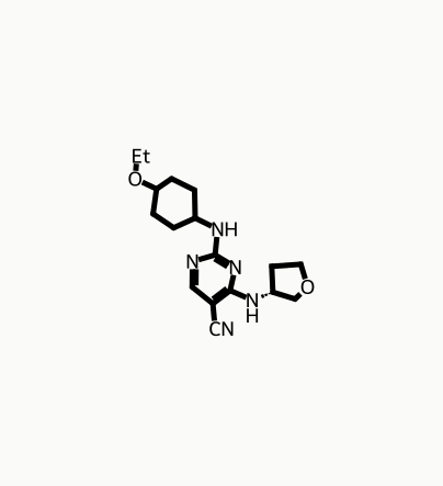 CCOC1CCC(Nc2ncc(C#N)c(N[C@@H]3CCOC3)n2)CC1